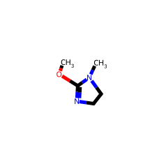 COC1=NCCN1C